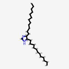 CCCCCCCCCCCCC1N=CNC1CCCCCCCCCCCC